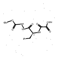 COC(=O)C(=O)N[C@@H](CC(C)C)C(=O)NNC(=O)OC(C)(C)C